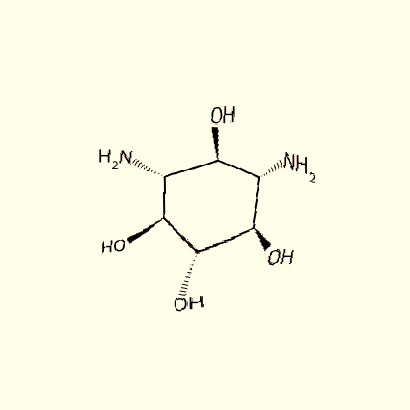 N[C@@H]1[C@@H](O)[C@H](N)[C@@H](O)[C@H](O)[C@H]1O